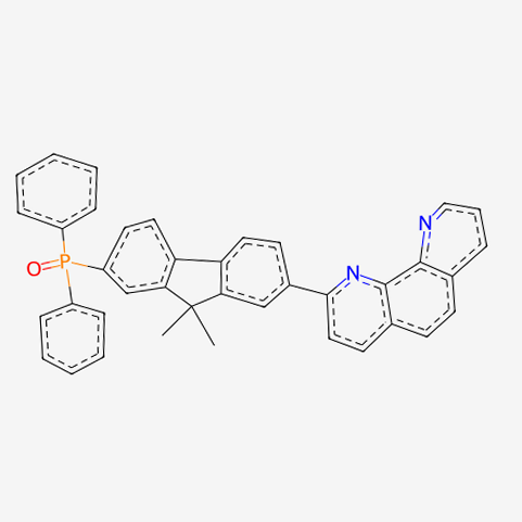 CC1(C)c2cc(-c3ccc4ccc5cccnc5c4n3)ccc2-c2ccc(P(=O)(c3ccccc3)c3ccccc3)cc21